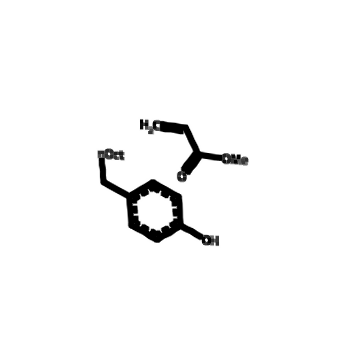 C=CC(=O)OC.CCCCCCCCCc1ccc(O)cc1